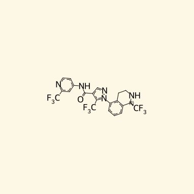 O=C(Nc1ccnc(C(F)(F)F)c1)c1cnn(-c2cccc3c2CCN[C@H]3C(F)(F)F)c1C(F)(F)F